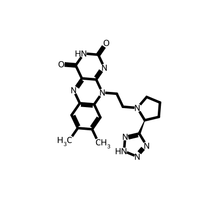 Cc1cc2nc3c(=O)[nH]c(=O)nc-3n(CCN3CCC[C@H]3c3nn[nH]n3)c2cc1C